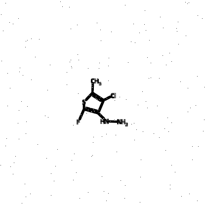 Cc1sc(F)c(NN)c1Cl